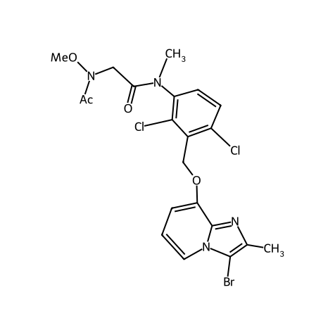 CON(CC(=O)N(C)c1ccc(Cl)c(COc2cccn3c(Br)c(C)nc23)c1Cl)C(C)=O